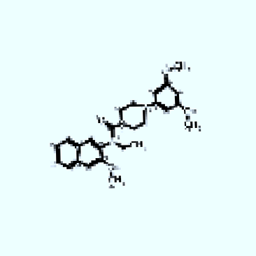 CCN(C(=O)N1CCN(c2cc(OC)cc(OC)c2)CC1)c1cc2ccccc2cc1OC